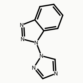 c1ccc2c(c1)nnn2-n1cncn1